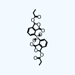 CCC(=O)OC1OC(=O)c2c1cccc2S(=O)(=O)c1cccc2c1C(=O)OC2OC(=O)CC